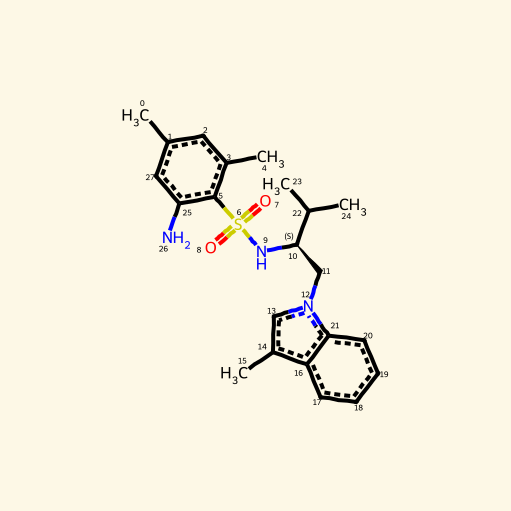 Cc1cc(C)c(S(=O)(=O)N[C@H](Cn2cc(C)c3ccccc32)C(C)C)c(N)c1